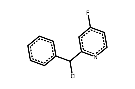 Fc1ccnc(C(Cl)c2ccccc2)c1